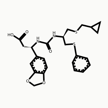 O=C(O)C[C@H](NC(=O)N[C@@H](CSCC1CC1)CSc1ccccc1)c1ccc2c(c1)OCO2